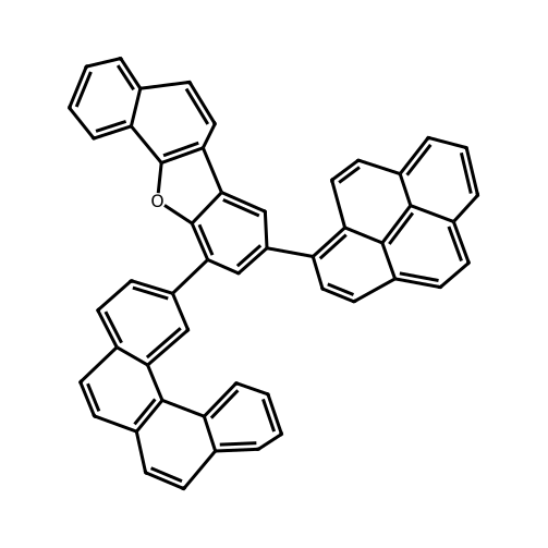 c1ccc2c(c1)ccc1c3cc(-c4ccc5ccc6cccc7ccc4c5c67)cc(-c4ccc5ccc6ccc7ccccc7c6c5c4)c3oc21